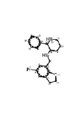 CC(C)c1cc2c(c(CNC3CCCNC3c3ccccc3)c1)OCC2